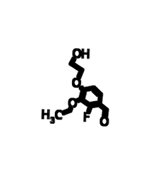 CCOc1c(OCCO)ccc(C=O)c1F